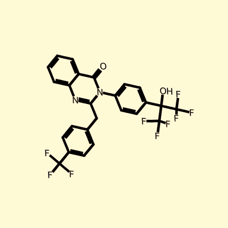 O=c1c2ccccc2nc(Cc2ccc(C(F)(F)F)cc2)n1-c1ccc(C(O)(C(F)(F)F)C(F)(F)F)cc1